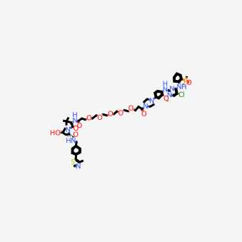 COc1cc(N2CCN(C(=O)CCOCCOCCOCCOCCOCCC(=O)N[C@H](C(=O)N3C[C@H](O)C[C@H]3C(=O)NCc3ccc(-c4scnc4C)cc3)C(C)(C)C)CC2)ccc1Nc1ncc(Cl)c(Nc2ccccc2P(C)(C)=O)n1